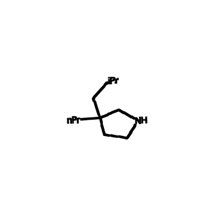 CCCC1(CC(C)C)CCNC1